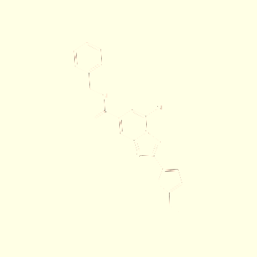 Cc1ccc(-c2nc3cc(C(=O)NCc4ccccc4)cc(N)n3n2)o1